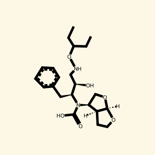 CCC(CC)ONC[C@@H](O)[C@H](Cc1ccccc1)N(C(=O)O)[C@H]1CO[C@H]2OCC[C@H]21